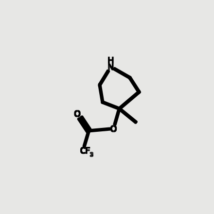 CC1(OC(=O)C(F)(F)F)CCNCC1